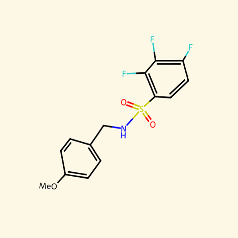 COc1ccc(CNS(=O)(=O)c2ccc(F)c(F)c2F)cc1